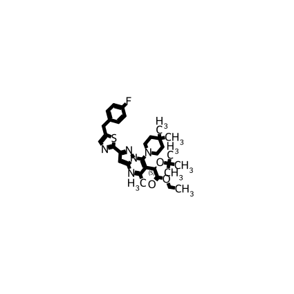 CCOC(=O)[C@@H](OC(C)(C)C)c1c(C)nc2cc(-c3ncc(Cc4ccc(F)cc4)s3)nn2c1N1CCC(C)(C)CC1